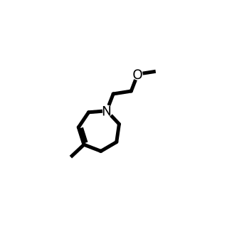 COCCN1CC=C(C)CCC1